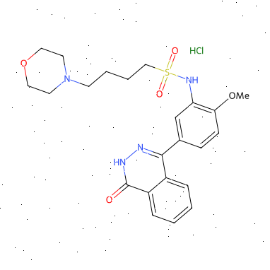 COc1ccc(-c2n[nH]c(=O)c3ccccc23)cc1NS(=O)(=O)CCCCN1CCOCC1.Cl